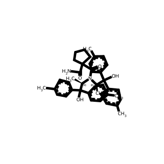 Cc1ccc(C(O)(c2ccc(C)cc2)[C@@H](C)N(C(=O)C2(C(N)=O)CCCC2)[C@H](C)C(O)(c2ccc(C)cc2)c2ccc(C)cc2)cc1